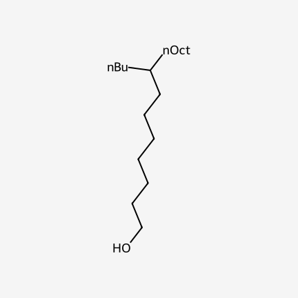 CCCCCCCCC(CCCC)CCCCCCCO